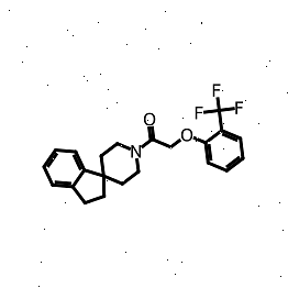 O=C(COc1ccccc1C(F)(F)F)N1CCC2(CCc3ccccc32)CC1